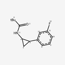 CC(C)(C)C(=O)NC1CC1c1cccc(F)c1